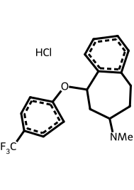 CNC1CCc2ccccc2C(Oc2ccc(C(F)(F)F)cc2)C1.Cl